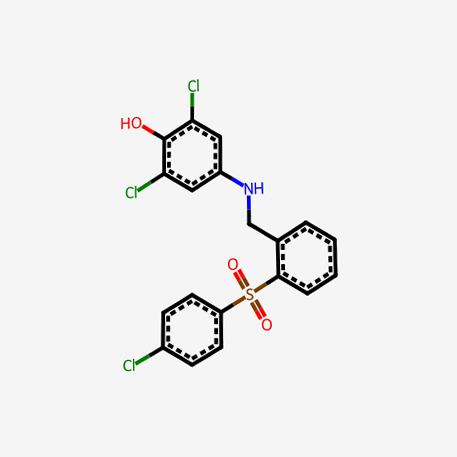 O=S(=O)(c1ccc(Cl)cc1)c1ccccc1CNc1cc(Cl)c(O)c(Cl)c1